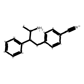 CC(N)C(Cc1ccc(C#N)cc1)c1ccccc1